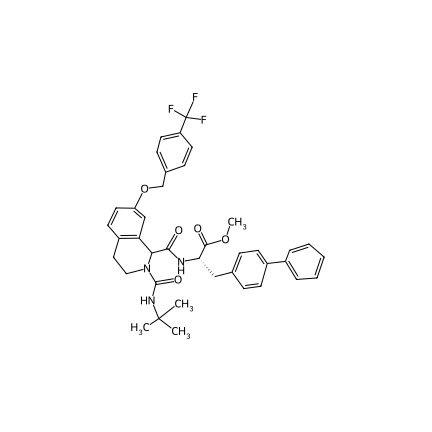 COC(=O)[C@H](Cc1ccc(-c2ccccc2)cc1)NC(=O)C1c2cc(OCc3ccc(C(F)(F)F)cc3)ccc2CCN1C(=O)NC(C)(C)C